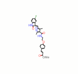 COC(=O)/C=C/c1ccc(OCCNC(=O)c2c(C)[nH]c(/C=C3\C(=O)Nc4ccc(F)cc43)c2C)cc1